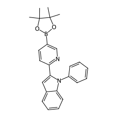 CC1(C)OB(c2ccc(-c3cc4ccccc4n3-c3ccccc3)nc2)OC1(C)C